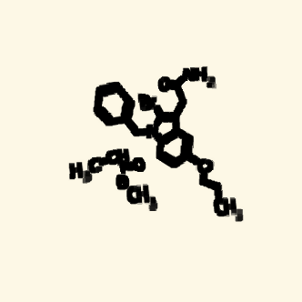 CCCOc1ccc2c(c1)c(CC(N)=O)c(Br)n2Cc1ccccc1.CO[PH](=O)OC